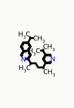 CC(C)c1cncc(C(C)CCC(C)c2cc3cc(C(C)C)ccc3cn2)c1